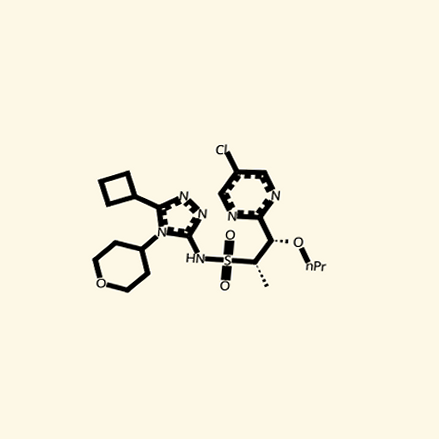 CCCO[C@@H](c1ncc(Cl)cn1)[C@H](C)S(=O)(=O)Nc1nnc(C2CCC2)n1C1CCOCC1